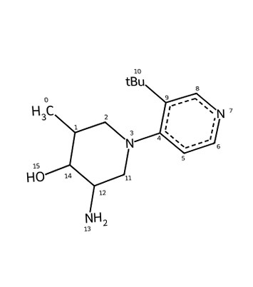 CC1CN(c2ccncc2C(C)(C)C)CC(N)C1O